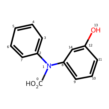 O=C(O)N(c1ccccc1)c1cccc(O)c1